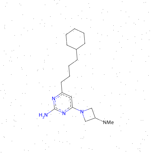 CNC1CN(c2cc(CCCCC3CCCCC3)nc(N)n2)C1